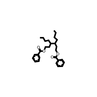 CCCCC(CCOC(=O)c1ccccc1)C(CCCC)CCOC(=O)c1ccccc1